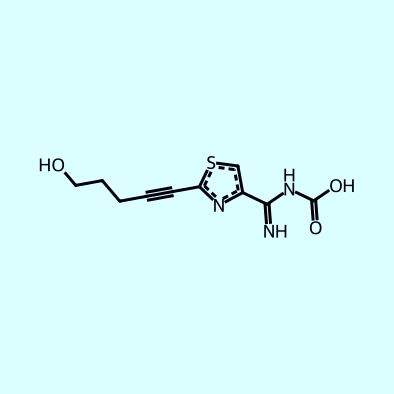 N=C(NC(=O)O)c1csc(C#CCCCO)n1